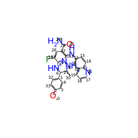 COc1ccc([C@@H](Nc2nc(Nc3ccc4ncccc4c3)c(C(N)=O)cc2F)[C@H](C)N)cc1